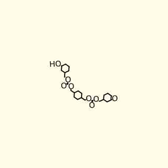 O=C(OCC1CCC(COC(=O)OCC2CCC3OC3C2)CC1)OCC1CCCC(O)C1